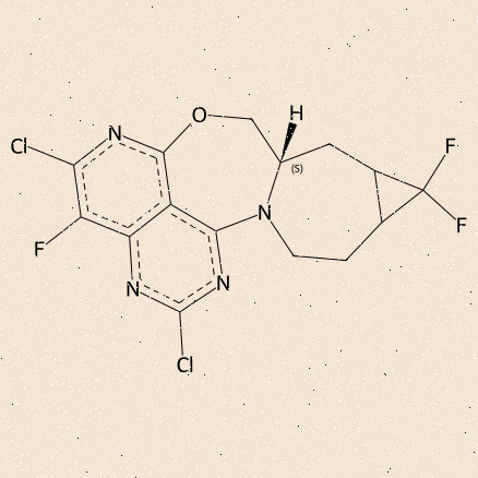 Fc1c(Cl)nc2c3c(nc(Cl)nc13)N1CCC3C(C[C@H]1CO2)C3(F)F